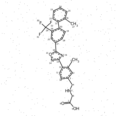 Cc1cc(CNCC(=O)O)ccc1-c1noc(-c2ccc(-c3ccccc3C)c(C(F)(F)F)c2)n1